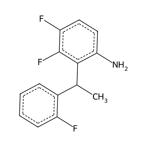 CC(c1ccccc1F)c1c(N)ccc(F)c1F